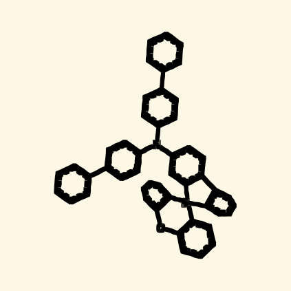 c1ccc(-c2ccc(N(c3ccc(-c4ccccc4)cc3)c3ccc4c(c3)[Si]3(c5ccccc5Oc5ccccc53)c3ccccc3-4)cc2)cc1